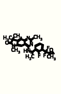 Cc1nc(N[C@H](C)c2cccc(C(F)(F)C3(C)CO3)c2F)c2cc3c(cc2n1)C(C)(C)C(=O)N3C